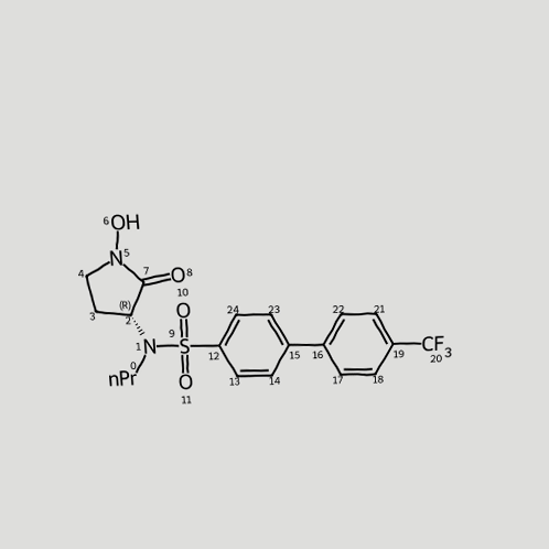 CCCN([C@@H]1CCN(O)C1=O)S(=O)(=O)c1ccc(-c2ccc(C(F)(F)F)cc2)cc1